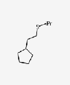 CC(C)SCCC1CCCC1